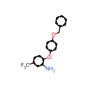 Nc1cc(C(F)(F)F)ccc1Oc1ccc(OCc2ccccc2)cc1